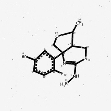 BNC1=NC2(c3cc(Br)ccc3F)COC(C(F)(F)F)C2CS1